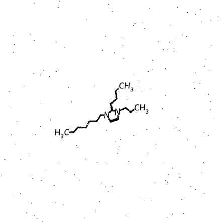 CCCCCCCN1C=CN(CCC)C1CCCC